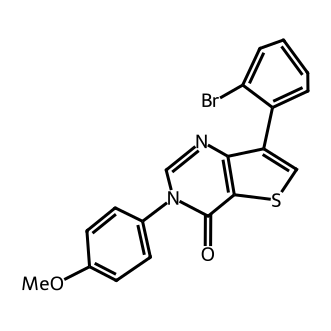 COc1ccc(-n2cnc3c(-c4ccccc4Br)csc3c2=O)cc1